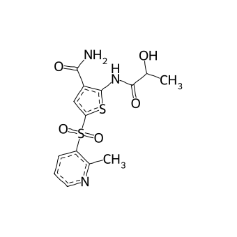 Cc1ncccc1S(=O)(=O)c1cc(C(N)=O)c(NC(=O)C(C)O)s1